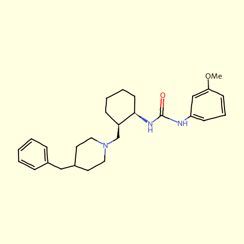 COc1cccc(NC(=O)N[C@@H]2CCCC[C@@H]2CN2CCC(Cc3ccccc3)CC2)c1